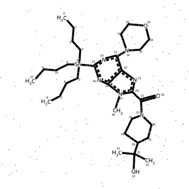 CCC[CH2][Sn]([CH2]CCC)([CH2]CCC)[c]1nc(N2CCOCC2)c2nc(C(=O)N3CCC(C(C)(C)O)CC3)n(C)c2n1